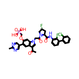 CC(=O)c1cn(CC(=O)N2C[C@H](F)CC2C(=O)Nc2cccc(-c3ccccc3Cl)c2F)c2cc(OCP(=O)(O)O)c(-c3cnc(C)nc3)cc12